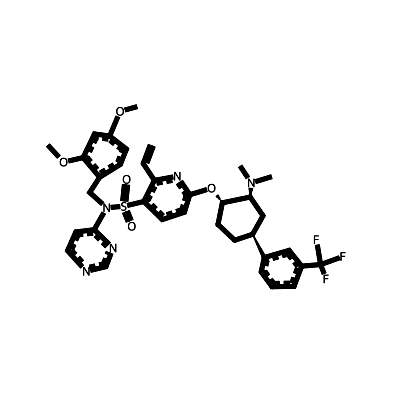 C=Cc1nc(O[C@H]2CC[C@H](c3cccc(C(F)(F)F)c3)C[C@@H]2N(C)C)ccc1S(=O)(=O)N(Cc1ccc(OC)cc1OC)c1ccncn1